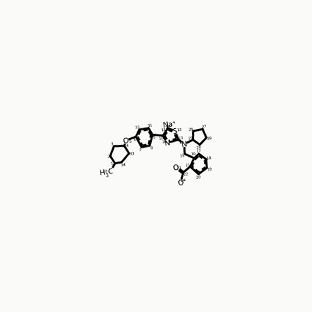 CC1CCC(Oc2ccc(-c3csc(N(Cc4ccccc4C(=O)[O-])C4CCCC4)n3)cc2)CC1.[Na+]